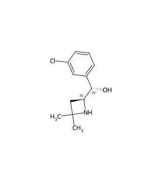 CC1(C)C[C@@H]([C@@H](O)c2cccc(Cl)c2)N1